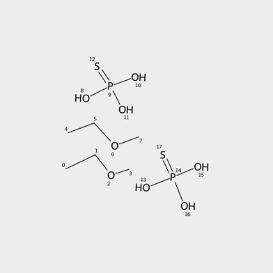 CCOC.CCOC.OP(O)(O)=S.OP(O)(O)=S